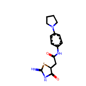 N=C1NC(=O)C(CC(=O)Nc2ccc(N3CCCC3)cc2)S1